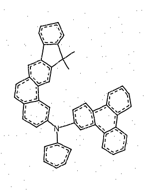 CC1(C)c2ccccc2-c2cc3ccc4ccc(N(c5ccccc5)c5ccc6c7ccccc7c7ccccc7c6c5)cc4c3cc21